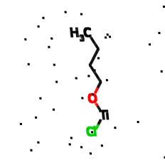 CCCC[O][Ti][Cl]